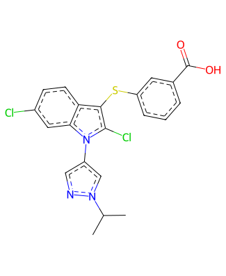 CC(C)n1cc(-n2c(Cl)c(Sc3cccc(C(=O)O)c3)c3ccc(Cl)cc32)cn1